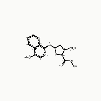 COc1cnc(OC2CC(C(=O)O)N(C(=O)OC(C)(C)C)C2)c2ccccc12